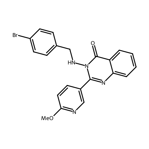 COc1ccc(-c2nc3ccccc3c(=O)n2NCc2ccc(Br)cc2)cn1